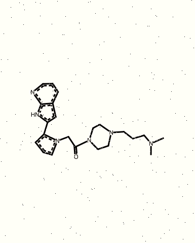 CN(C)CCCN1CCN(C(=O)Cn2cccc2-c2cc3cccnc3[nH]2)CC1